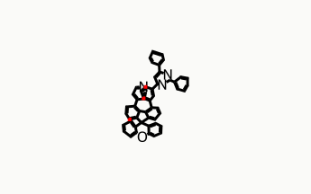 c1ccc(-c2cc(-c3cccc(-c4cccc5c4-c4c(-c6ccncc6)cccc4C54c5ccccc5Oc5ccccc54)c3)nc(-c3ccccc3)n2)cc1